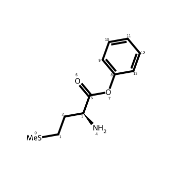 CSCC[C@H](N)C(=O)Oc1ccccc1